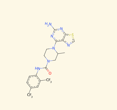 CC1CN(C(=O)Nc2ccc(C(F)(F)F)cc2C(F)(F)F)CCN1c1nc(N)nc2scnc12